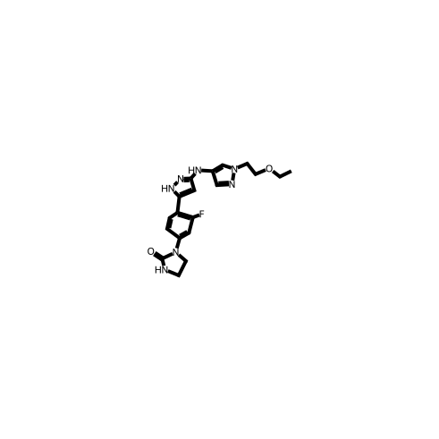 CCOCCn1cc(Nc2cc(-c3ccc(N4CCNC4=O)cc3F)[nH]n2)cn1